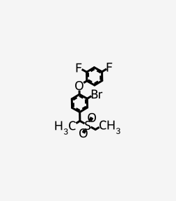 CCS(=O)(=O)C(C)c1ccc(Oc2ccc(F)cc2F)c(Br)c1